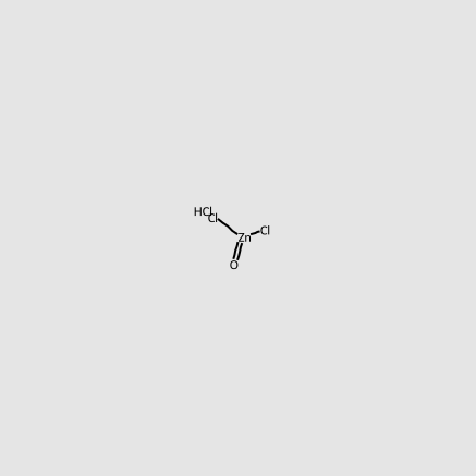 Cl.[O]=[Zn]([Cl])[Cl]